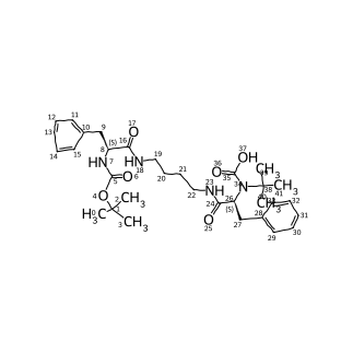 CC(C)(C)OC(=O)N[C@@H](Cc1ccccc1)C(=O)NCCCCNC(=O)[C@H](Cc1ccccc1)N(C(=O)O)C(C)(C)C